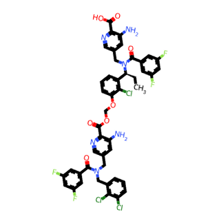 CC[C@@H](c1cccc(OCOC(=O)c2ncc(CN(Cc3cccc(Cl)c3Cl)C(=O)c3cc(F)cc(F)c3)cc2N)c1Cl)N(Cc1cnc(C(=O)O)c(N)c1)C(=O)c1cc(F)cc(F)c1